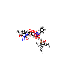 CCC(C)(C)C(=O)SCCOP(=O)(NCc1ccccc1)OC[C@H]1OC(n2cc(C)c(=O)[nH]c2=O)[C@@](C)(O)C1O